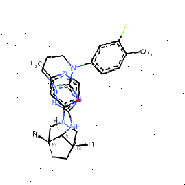 Cc1ccc(N2CCCn3nc(N[C@@H]4[C@@H]5CC[C@H]4CN(c4ccnc(C(F)(F)F)c4)C5)nc32)cc1F